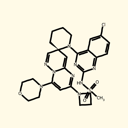 CS(=O)(=O)Nc1nc(N2CCCC[C@@]23C=NN2C(=C3)N=C(N3CCC3)C=C2N2CCOCC2)c2cc(Cl)ccc2n1